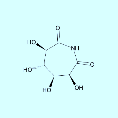 O=C1NC(=O)[C@H](O)[C@@H](O)[C@H](O)[C@@H]1O